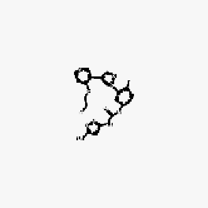 Cc1ccc(NC(=O)Nc2cc(C(C)(C)C)on2)cc1-n1cc(-c2cnccc2OCCO)cn1